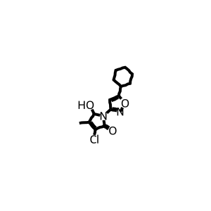 CC1=C(Cl)C(=O)N(c2cc(C3CCCCC3)on2)C1O